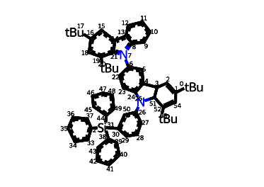 CC(C)(C)C1=CC2c3cc(-n4c5ccccc5c5cc(C(C)(C)C)cc(C(C)(C)C)c54)ccc3N(c3cccc([Si](c4ccccc4)(c4ccccc4)c4ccccc4)c3)C2C(C(C)(C)C)=C1